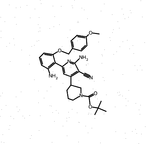 COc1ccc(COc2cccc(N)c2-c2cc(C3CCCN(C(=O)OC(C)(C)C)C3)c(C#N)c(N)n2)cc1